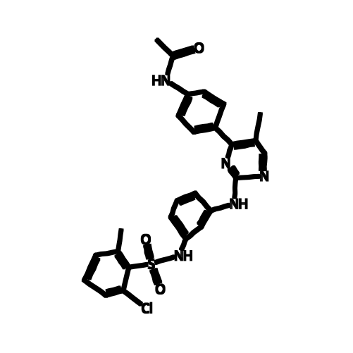 CC(=O)Nc1ccc(-c2nc(Nc3cccc(NS(=O)(=O)c4c(C)cccc4Cl)c3)ncc2C)cc1